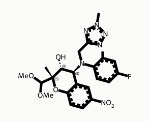 COC(OC)[C@@]1(C)Oc2ccc([N+](=O)[O-])cc2[C@H](N(Cc2nnn(C)n2)c2ccc(F)cc2C)[C@H]1O